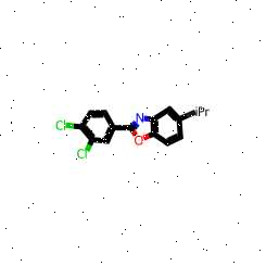 CC(C)c1ccc2oc(-c3ccc(Cl)c(Cl)c3)nc2c1